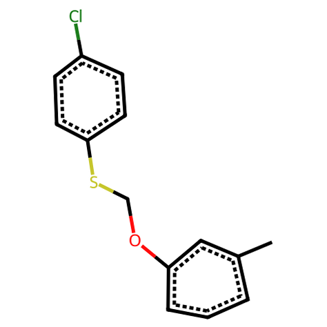 Cc1cccc(OCSc2ccc(Cl)cc2)c1